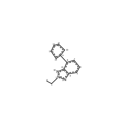 CCn1nc2cccc(-c3ccccc3)c2n1